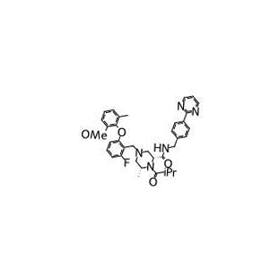 COc1cccc(C)c1Oc1cccc(F)c1CN1C[C@@H](C)N(C(=O)C(C)C)[C@@H](C(=O)NCc2ccc(-c3ncccn3)cc2)C1